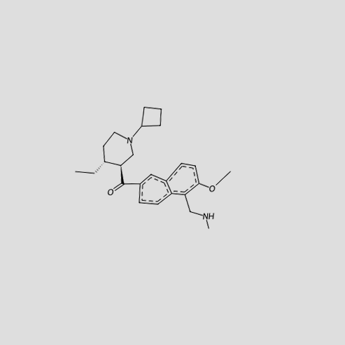 CC[C@@H]1CCN(C2CCC2)C[C@H]1C(=O)c1ccc2c(CNC)c(OC)ccc2c1